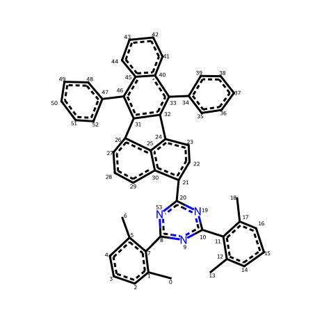 Cc1cccc(C)c1-c1nc(-c2c(C)cccc2C)nc(-c2ccc3c4c(cccc24)-c2c-3c(-c3ccccc3)c3ccccc3c2-c2ccccc2)n1